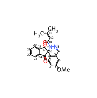 COc1ccc2c(c1)C=NN(C(=O)C=C(C)C)C21C(=O)c2ccccc2C1=O